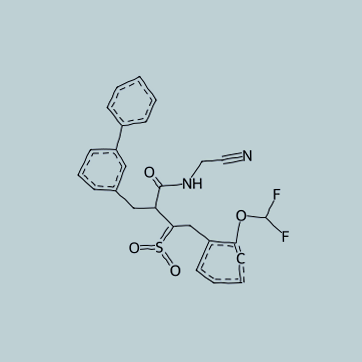 N#CCNC(=O)C(Cc1cccc(-c2ccccc2)c1)C(Cc1ccccc1OC(F)F)=S(=O)=O